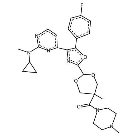 CN1CCN(C(=O)C2(C)COC(c3nc(-c4ccnc(N(C)C5CC5)n4)c(-c4ccc(F)cc4)o3)OC2)CC1